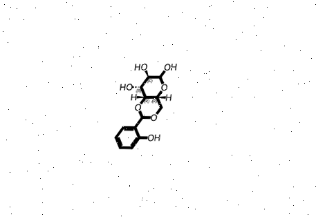 Oc1ccccc1C1OC[C@H]2OC(O)[C@H](O)[C@@H](O)[C@H]2O1